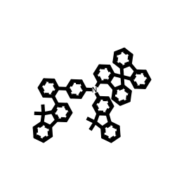 CC1(C)c2ccccc2-c2ccc(N(c3ccc(-c4ccccc4-c4cccc5c4C(C)(C)c4ccccc4-5)cc3)c3cccc4c3-c3ccccc3C43c4ccccc4-c4ccccc43)cc21